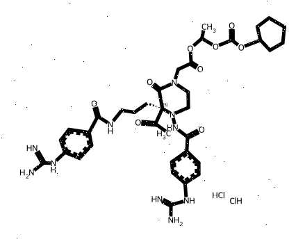 CC(=O)[C@@]1(CCCNC(=O)c2ccc(NC(=N)N)cc2)C(=O)N(CC(=O)OC(C)OC(=O)OC2CCCCC2)CCN1NC(=O)c1ccc(NC(=N)N)cc1.Cl.Cl